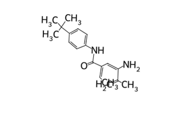 C=C(C)/C(N)=C\C(=C/C)C(=O)Nc1ccc(C(C)(C)C)cc1